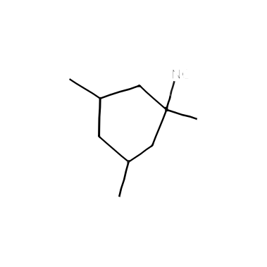 [C-]#[N+]C1(C)CC(C)CC(C)C1